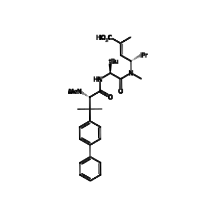 CN[C@H](C(=O)N[C@H](C(=O)N(C)[C@H](/C=C(\C)C(=O)O)C(C)C)C(C)(C)C)C(C)(C)c1ccc(-c2ccccc2)cc1